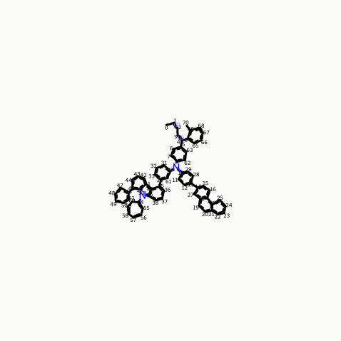 C/C=C\C=C(\c1ccc(N(c2ccc(-c3ccc4c(ccc5ccccc54)c3)cc2)c2cccc(-c3cccc4c3c3cccc(-c5ccccc5)c3n4C3=CC=CC=CC3)c2)cc1)c1ccccc1C